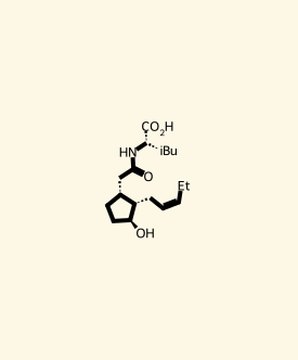 CC/C=C\C[C@H]1[C@@H](CC(=O)N[C@H](C(=O)O)[C@@H](C)CC)CC[C@@H]1O